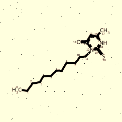 CCCCCCCCCCCCn1c(=O)cc(C)[nH]c1=S